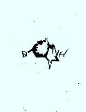 CN1CNc2ncc(Br)cc21